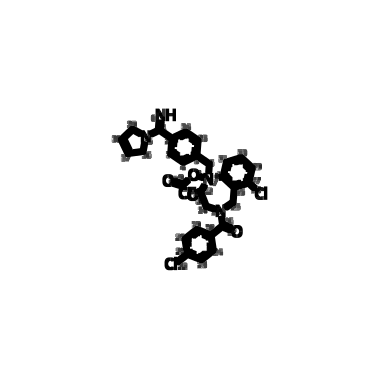 N=C(c1ccc(C[N+]2(OC(=O)C(F)(F)F)C(=O)CN(C(=O)c3ccc(Cl)cc3)Cc3c(Cl)cccc32)cc1)N1CC=CC1